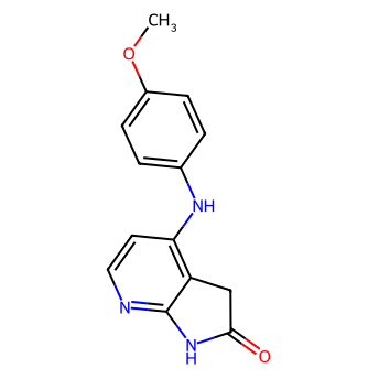 COc1ccc(Nc2ccnc3c2CC(=O)N3)cc1